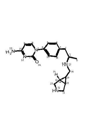 CC(Cc1ccc(-n2ccc(N)nc2=O)cc1)NCC1C2CNC[C@@H]21